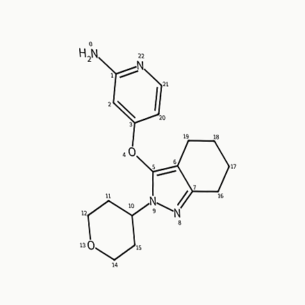 Nc1cc(Oc2c3c(nn2C2CCOCC2)CCCC3)ccn1